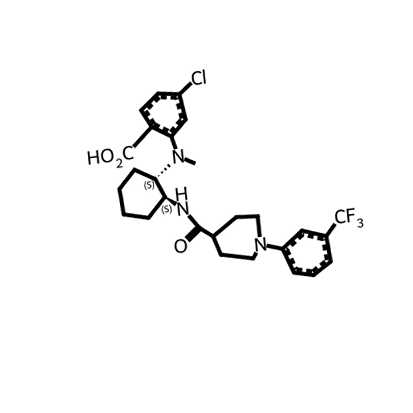 CN(c1cc(Cl)ccc1C(=O)O)[C@H]1CCCC[C@@H]1NC(=O)C1CCN(c2cccc(C(F)(F)F)c2)CC1